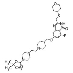 CC(C)(C)OC(=O)N1CCN(CCN2CCC(COc3cc(F)c4c(=O)[nH]c(CSC5CCOCC5)nc4c3)CC2)CC1